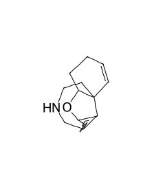 C1=CC23CCNCC4=CCCC(=C42)OC3CC1